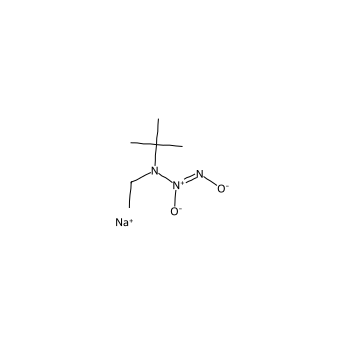 CCN([N+]([O-])=N[O-])C(C)(C)C.[Na+]